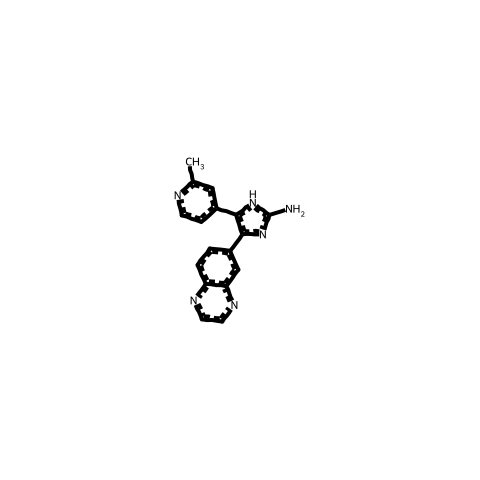 Cc1cc(-c2[nH]c(N)nc2-c2ccc3nccnc3c2)ccn1